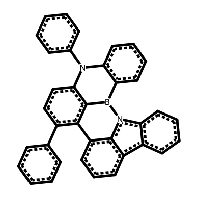 c1ccc(-c2ccc3c4c2-c2cccc5c6ccccc6n(c25)B4c2ccccc2N3c2ccccc2)cc1